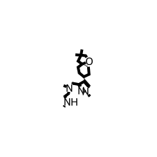 CNCCN(C)Cc1nn(C)cc1[C@H]1CC[C@]2(CC1)CC(C)(C)CO2